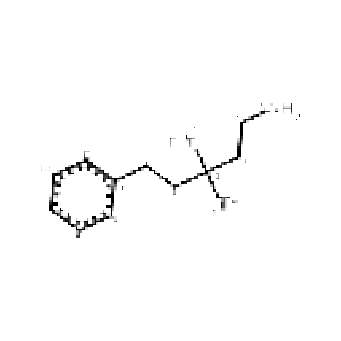 [CH2]C(C)C(CCC)(CCN)CCc1ccccc1